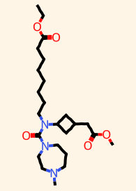 CCOC(=O)CCCCCCCN(C(=O)N1CCCN(C)CC1)C1CC(CC(=O)OC)C1